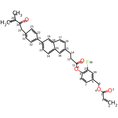 C=CC(=O)OCc1ccc(OC(=O)CCc2ccc3cc(-c4ccc(CC(=O)C(=C)C)cc4)ccc3c2)c(F)c1